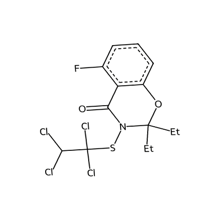 CCC1(CC)Oc2cccc(F)c2C(=O)N1SC(Cl)(Cl)C(Cl)Cl